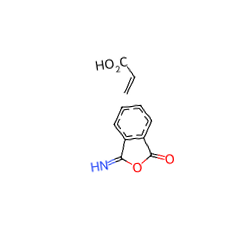 C=CC(=O)O.N=C1OC(=O)c2ccccc21